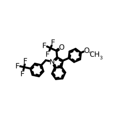 COc1ccc(-c2c(C(=O)C(F)(F)F)n(Cc3cccc(C(F)(F)F)c3)c3ccccc23)cc1